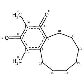 Cn1c2c(c(=O)n(C)c1=O)CCCCCCC2